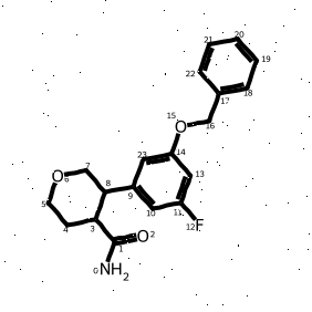 NC(=O)C1CCOCC1c1cc(F)cc(OCc2ccccc2)c1